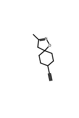 C#CC1CCC2(CC1)CC(C)=NO2